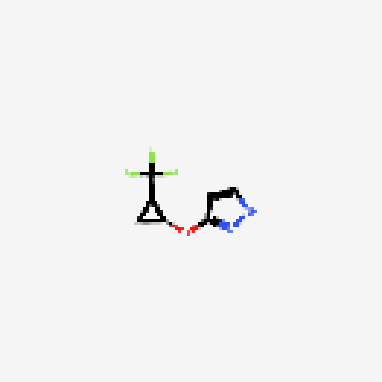 FC(F)(F)C1C[C@@H]1Oc1cc[nH]n1